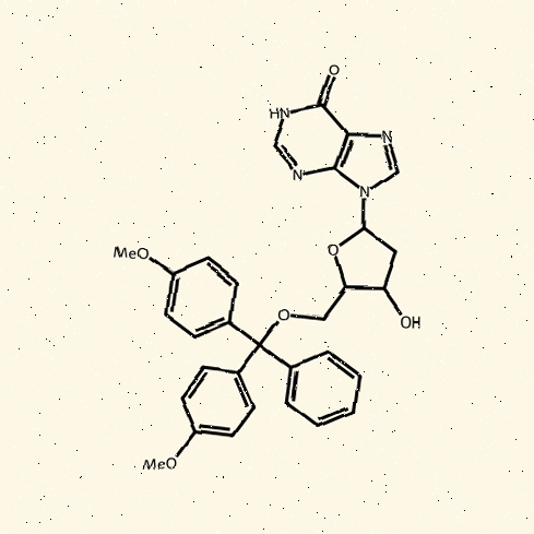 COc1ccc(C(OCC2OC(n3cnc4c(=O)[nH]cnc43)CC2O)(c2ccccc2)c2ccc(OC)cc2)cc1